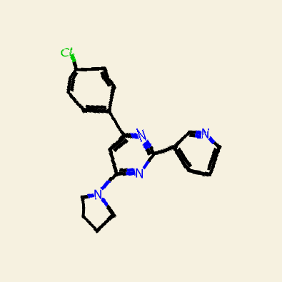 Clc1ccc(-c2cc(N3CCCC3)nc(-c3cccnc3)n2)cc1